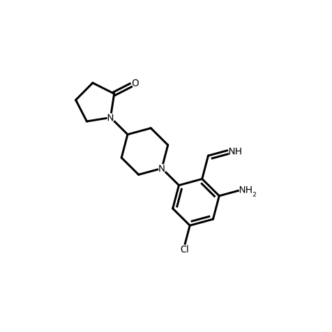 N=Cc1c(N)cc(Cl)cc1N1CCC(N2CCCC2=O)CC1